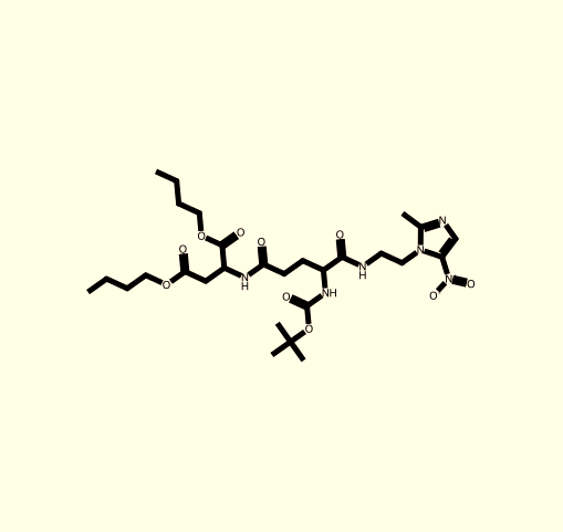 CCCCOC(=O)CC(NC(=O)CCC(NC(=O)OC(C)(C)C)C(=O)NCCn1c([N+](=O)[O-])cnc1C)C(=O)OCCCC